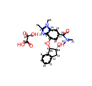 Cc1nc2c(O[C@@H]3c4ccccc4C[C@H]3O)cc(C(=O)N(C)C)cc2n1C.O=C(O)C(=O)O